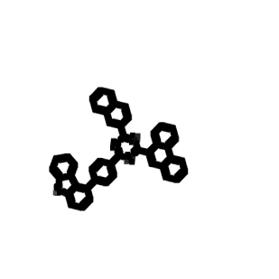 c1ccc2cc(-c3nc(-c4ccc(-c5cccc6sc7ccccc7c56)cc4)nc(-c4cc5ccccc5c5ccccc45)n3)ccc2c1